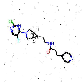 O=C(CCc1ccncc1)NCC[C@@H]1[C@H]2CN(c3nc(Cl)ncc3F)C[C@@H]12